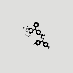 CC1CN(C(c2ccccc2)C2CCN(C(=O)COC(c3ccc(F)cc3)c3ccc(F)cc3)CC2)CC(C)N1